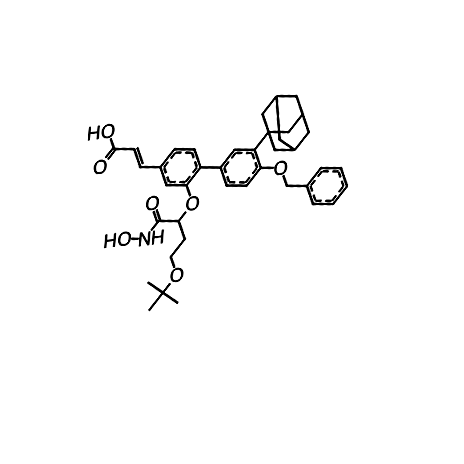 CC(C)(C)OCCC(Oc1cc(C=CC(=O)O)ccc1-c1ccc(OCc2ccccc2)c(C23CC4CC(CC(C4)C2)C3)c1)C(=O)NO